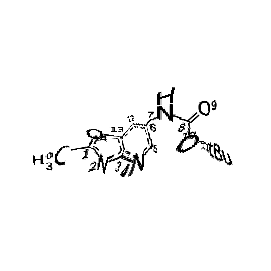 Cc1nc2ncc(NC(=O)OC(C)(C)C)cc2o1